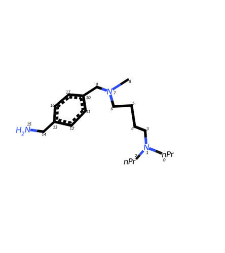 CCCN(CCC)CCCCN(C)Cc1ccc(CN)cc1